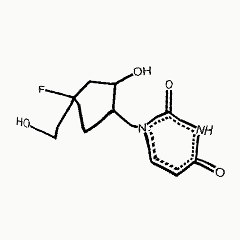 O=c1ccn(C2CC(F)(CO)CC2O)c(=O)[nH]1